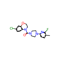 Cc1ccc(N2CCN(C(=O)N3CCOc4cc(Cl)ccc43)CC2)nc1F